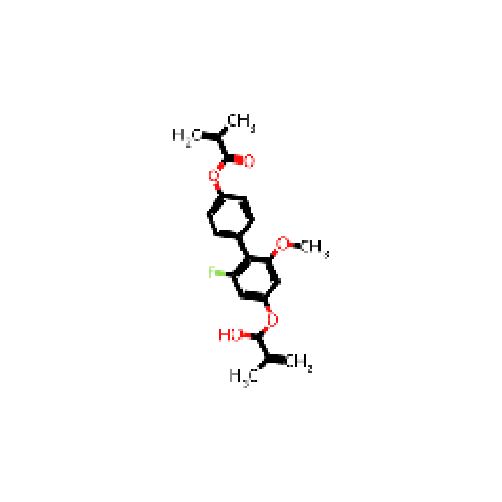 C=C(C)C(=O)Oc1ccc(-c2c(F)cc(OC(O)C(=C)C)cc2OC)cc1